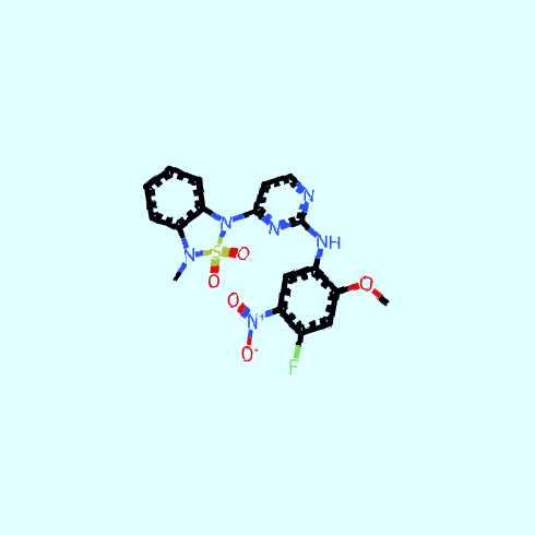 COc1cc(F)c([N+](=O)[O-])cc1Nc1nccc(N2c3ccccc3N(C)S2(=O)=O)n1